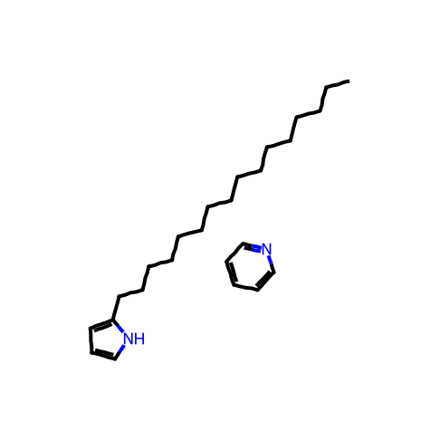 CCCCCCCCCCCCCCCCc1ccc[nH]1.c1ccncc1